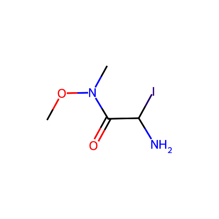 CON(C)C(=O)C(N)I